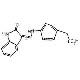 O=C(O)Cc1ccc(N/C=C2\C(=O)Nc3ccccc32)cc1